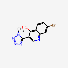 Cn1nnnc1-c1cnc2cc(Br)ccc2c1O